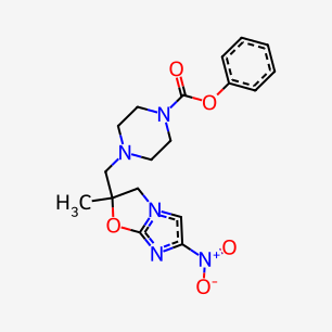 CC1(CN2CCN(C(=O)Oc3ccccc3)CC2)Cn2cc([N+](=O)[O-])nc2O1